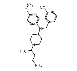 CC(CCN)N1CCC(N(Cc2cccc(C#N)c2)c2ccc(OC(F)(F)F)cc2)CC1